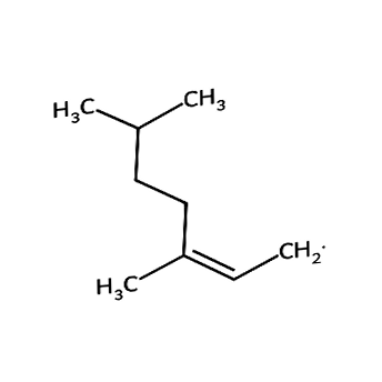 [CH2]C=C(C)CCC(C)C